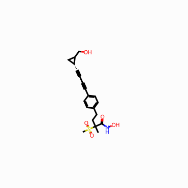 CC(CCc1ccc(C#CC#C[C@@H]2CC2CO)cc1)(C(=O)NO)S(C)(=O)=O